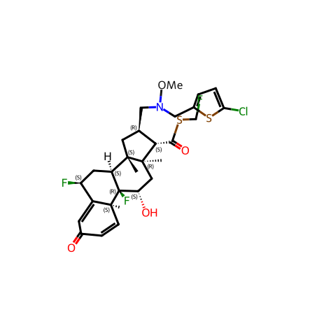 CON(Cc1ccc(Cl)s1)C[C@@H]1C[C@@]2(C)[C@@H]3C[C@H](F)C4=CC(=O)C=C[C@]4(C)[C@@]3(F)[C@@H](O)C[C@]2(C)[C@H]1C(=O)SCF